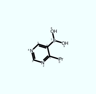 CC(C)c1ncncc1B(O)O